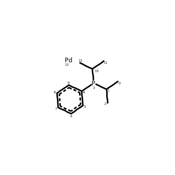 CC(C)P(c1ccccc1)C(C)C.[Pd]